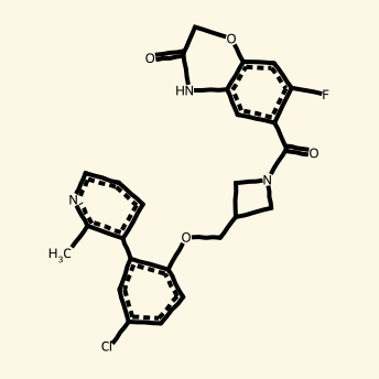 Cc1ncccc1-c1cc(Cl)ccc1OCC1CN(C(=O)c2cc3c(cc2F)OCC(=O)N3)C1